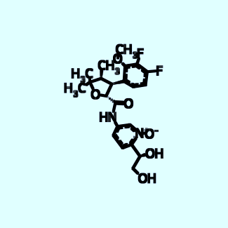 COc1c([C@H]2[C@H](C(=O)Nc3ccc([C@@H](O)CO)[n+]([O-])c3)OC(C)(C)[C@H]2C)ccc(F)c1F